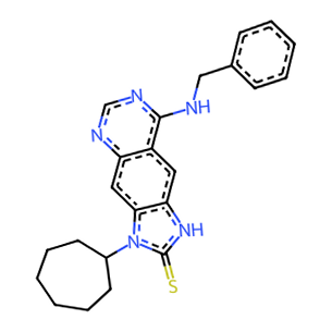 S=c1[nH]c2cc3c(NCc4ccccc4)ncnc3cc2n1C1CCCCCC1